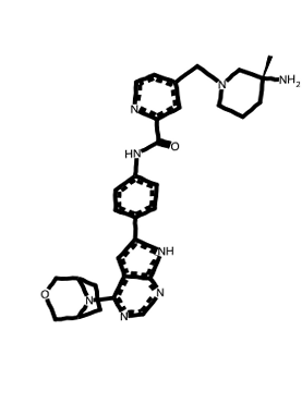 C[C@@]1(N)CCCN(Cc2ccnc(C(=O)Nc3ccc(-c4cc5c(N6C7CCC6COC7)ncnc5[nH]4)cc3)c2)C1